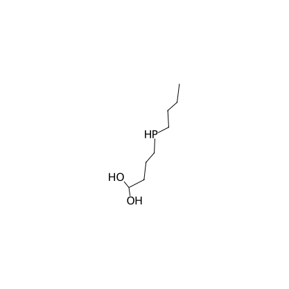 CCCCPCCCC(O)O